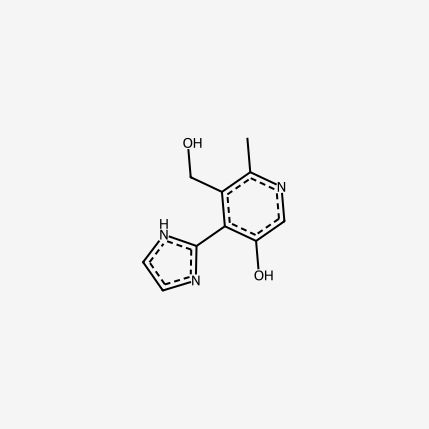 Cc1ncc(O)c(-c2ncc[nH]2)c1CO